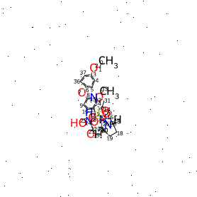 CCOc1ccc(Oc2ccc(S(=O)(=O)N3C[C@H]4CC[C@@H]([C@@H]3C(=O)NO)N4C(=O)OCCOC)cn2)cc1